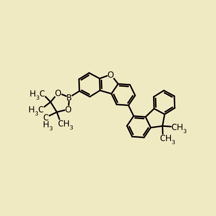 CC1(C)c2ccccc2-c2c(-c3ccc4oc5ccc(B6OC(C)(C)C(C)(C)O6)cc5c4c3)cccc21